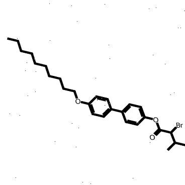 CCCCCCCCCCOc1ccc(-c2ccc(OC(=O)C(Br)C(C)C)cc2)cc1